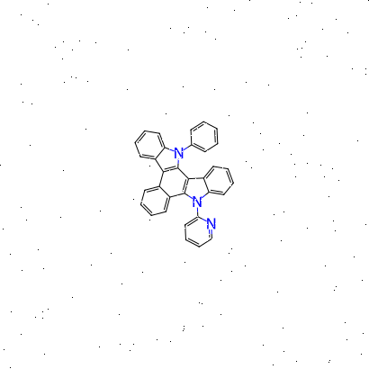 c1ccc(-n2c3ccccc3c3c4ccccc4c4c(c5ccccc5n4-c4ccccn4)c32)cc1